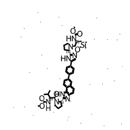 COC(=O)N[C@@H](C[Si](C)(C)C)C(=O)N1CCC[C@H]1c1ncc(-c2ccc(-c3ccc4c(ccc5nc([C@@H]6CCCN6C(=O)[C@@H](NC(=O)OC)C(C)C)[nH]c54)c3)cc2)[nH]1